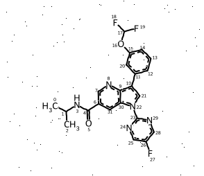 CC(C)NC(=O)c1cnc2c(-c3cccc(OC(F)F)c3)cn(-c3ncc(F)cn3)c2c1